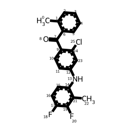 Cc1ccccc1C(=O)c1ccc(Nc2ccc(F)c(F)c2C)cc1Cl